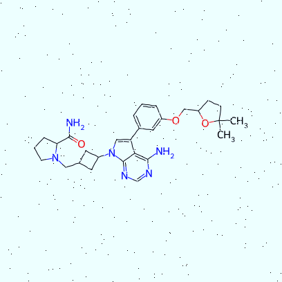 CC1(C)CCC(COc2cccc(-c3cn(C4CC(CN5CCCC5C(N)=O)C4)c4ncnc(N)c34)c2)O1